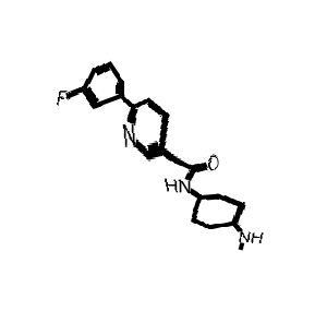 CNC1CCC(NC(=O)c2ccc(-c3cccc(F)c3)nc2)CC1